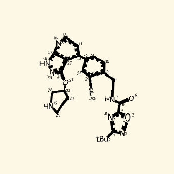 CC(C)(C)c1noc(C(=O)NCc2ccc(-c3ccnc4[nH]nc(O[C@H]5CCNC5)c34)cc2F)n1